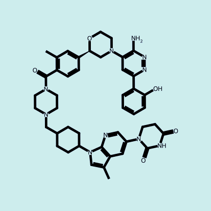 Cc1cc([C@@H]2CN(c3cc(-c4ccccc4O)nnc3N)CCO2)ccc1C(=O)N1CCN(CC2CCC(n3cc(C)c4cc(N5CCC(=O)NC5=O)cnc43)CC2)CC1